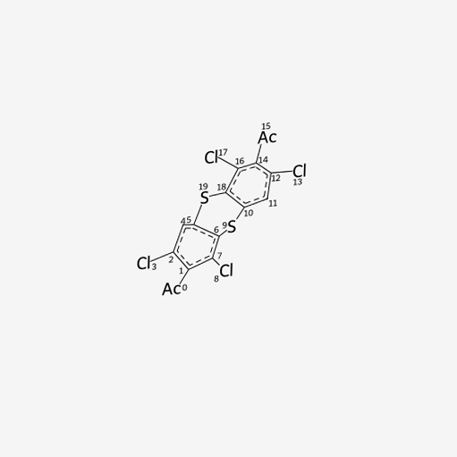 CC(=O)c1c(Cl)cc2c(c1Cl)Sc1cc(Cl)c(C(C)=O)c(Cl)c1S2